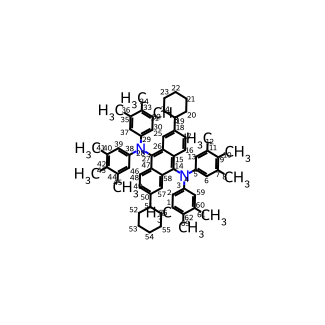 Cc1cc(N(c2cc(C)c(C)c(C)c2)c2c3ccc(C4CCCCC4)cc3c(N(c3cc(C)c(C)c(C)c3)c3cc(C)c(C)c(C)c3)c3ccc(C4CCCCC4)cc23)cc(C)c1C